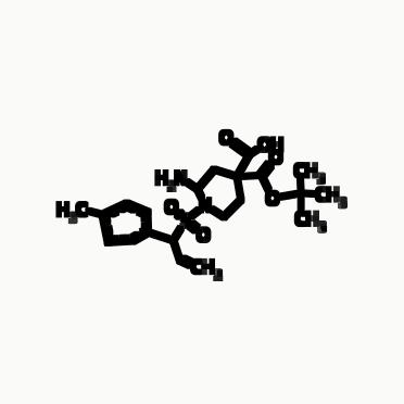 C=CC(c1ccc(C)cc1)S(=O)(=O)N1CCC(C(=O)O)(C(=O)OC(C)(C)C)CC1N